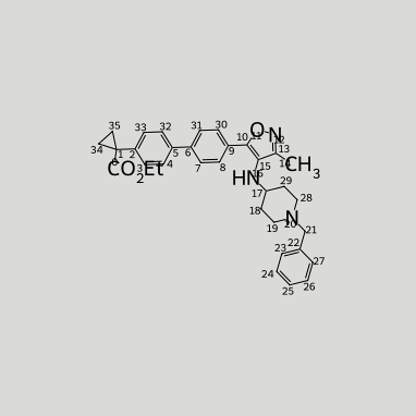 CCOC(=O)C1(c2ccc(-c3ccc(-c4onc(C)c4NC4CCN(Cc5ccccc5)CC4)cc3)cc2)CC1